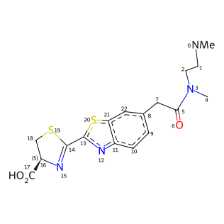 CNCCN(C)C(=O)Cc1ccc2nc(C3=N[C@@H](C(=O)O)CS3)sc2c1